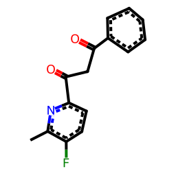 Cc1nc(C(=O)CC(=O)c2ccccc2)ccc1F